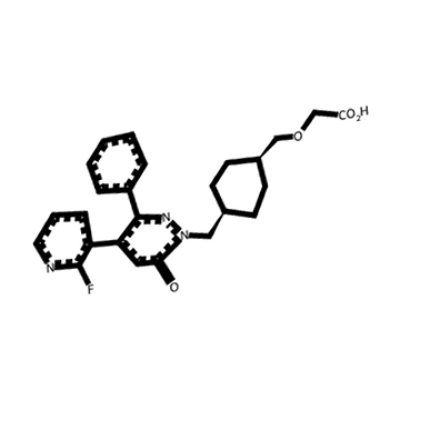 O=C(O)COC[C@H]1CC[C@@H](Cn2nc(-c3ccccc3)c(-c3cccnc3F)cc2=O)CC1